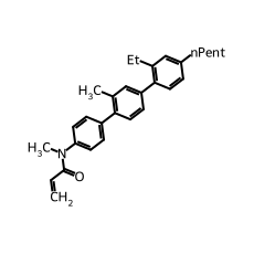 C=CC(=O)N(C)c1ccc(-c2ccc(-c3ccc(CCCCC)cc3CC)cc2C)cc1